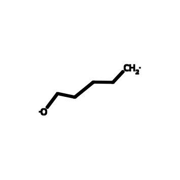 [CH2]CCCC[O]